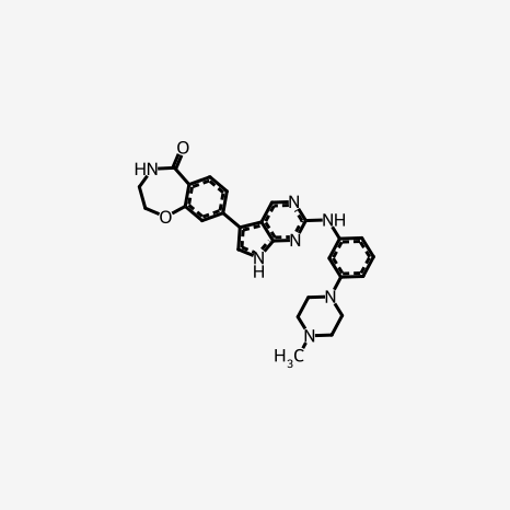 CN1CCN(c2cccc(Nc3ncc4c(-c5ccc6c(c5)OCCNC6=O)c[nH]c4n3)c2)CC1